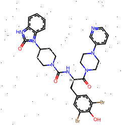 O=C(N[C@H](Cc1cc(Br)c(O)c(Br)c1)C(=O)N1CCN(c2cccnc2)CC1)N1CCC(n2c(=O)[nH]c3ccccc32)CC1